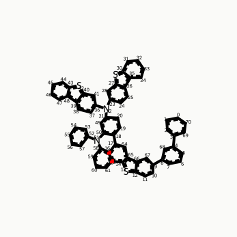 c1ccc(-c2cccc(-c3ccc4sc5ccc(-c6ccc(N(c7ccc8c(c7)sc7ccccc78)c7ccc8c(c7)sc7ccccc78)cc6N(c6ccccc6)c6ccccc6)cc5c4c3)c2)cc1